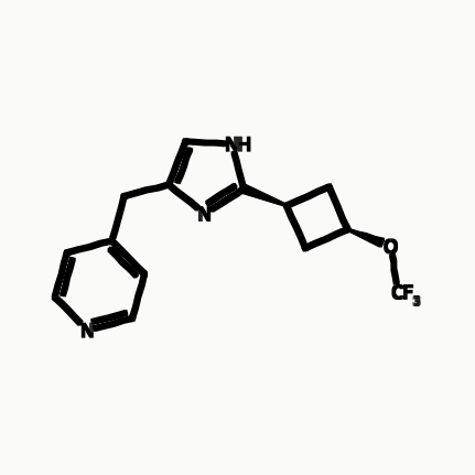 FC(F)(F)O[C@H]1C[C@@H](c2nc(Cc3ccncc3)c[nH]2)C1